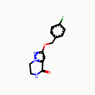 O=C1NCCn2nc(OCc3ccc(F)cc3)cc21